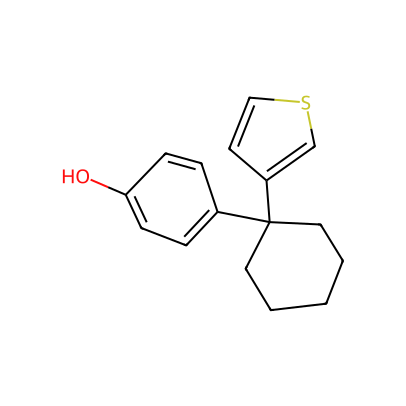 Oc1ccc(C2(c3ccsc3)CCCCC2)cc1